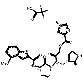 COc1cccc2[nH]c(C(=O)N[C@@H](CC(C)C)C(=O)N[C@@H](C[C@@H]3CCNC3=O)C(=O)COC(=O)c3cn(C)cn3)cc12.O=C(O)C(F)(F)F